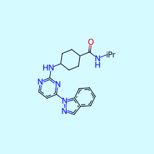 CC(C)NC(=O)C1CCC(Nc2nccc(-n3ncc4ccccc43)n2)CC1